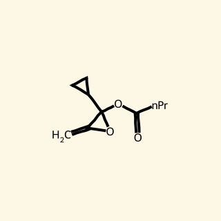 C=C1OC1(OC(=O)CCC)C1CC1